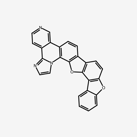 c1ccc2c(c1)oc1ccc3c4ccc5c6cnccc6c6nccn6c5c4oc3c12